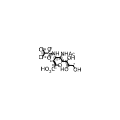 CC(=O)N[C@H]1[C@H]([C@H](O)[C@H](O)CO)OC(C(=O)O)=C[C@@H]1NS(=O)(=O)C(Cl)Cl